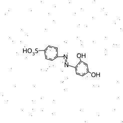 O=S(=O)(O)c1ccc(/N=N/c2ccc(O)cc2O)cc1